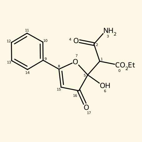 CCOC(=O)C(C(N)=O)C1(O)OC(c2ccccc2)=CC1=O